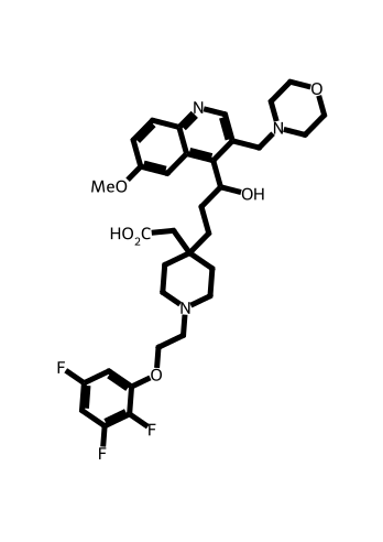 COc1ccc2ncc(CN3CCOCC3)c(C(O)CCC3(CC(=O)O)CCN(CCOc4cc(F)cc(F)c4F)CC3)c2c1